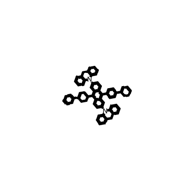 C1=CCCC(c2ccc(-c3c4ccc(N5c6ccccc6Cc6ccccc65)cc4c(C4=CC=C(c5ccccc5)CC4)c4ccc(N5c6ccccc6Cc6ccccc65)cc34)cc2)=C1